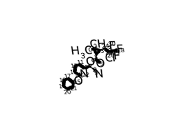 CC1(C)[C@H](C(=O)O[C@@H](C#N)c2cccc(Oc3ccccc3)n2)[C@@H]1C=C(Cl)C(F)(F)F